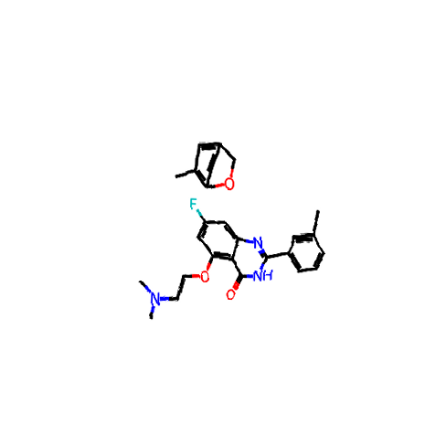 Cc1cc2ccc1OC2.Cc1cccc(-c2nc3cc(F)cc(OCCN(C)C)c3c(=O)[nH]2)c1